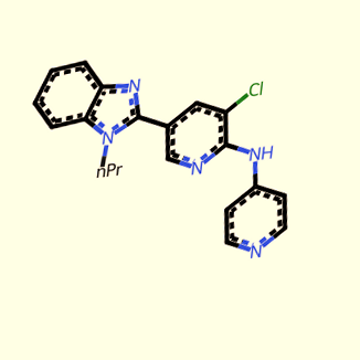 CCCn1c(-c2cnc(Nc3ccncc3)c(Cl)c2)nc2ccccc21